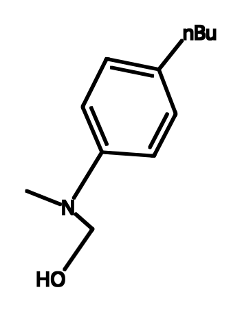 CCCCc1ccc(N(C)CO)cc1